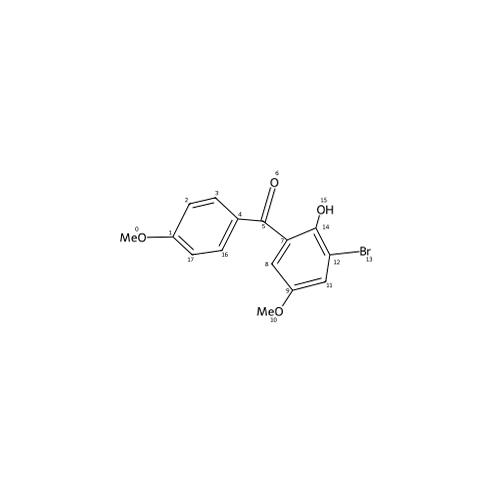 COc1ccc(C(=O)c2cc(OC)cc(Br)c2O)cc1